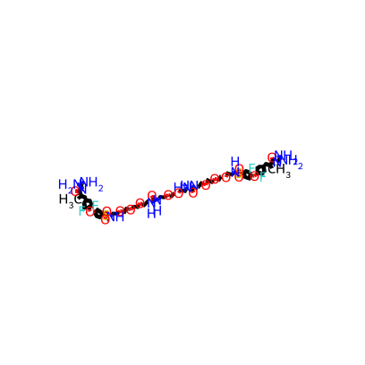 C/C(=C\c1cc(F)c(Oc2ccc(S(=O)(=O)NCCOCCOCCOCCNC(=O)NCCOCCOCCNC(=O)NCCOCCOCCOCCNS(=O)(=O)c3ccc(Oc4c(F)cc(/C=C(\C)C(=O)N=C(N)N)cc4F)cc3)cc2)c(F)c1)C(=O)N=C(N)N